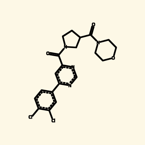 O=C(c1cc(-c2ccc(Cl)c(Cl)c2)ncn1)N1CCC(C(=O)N2CCOCC2)C1